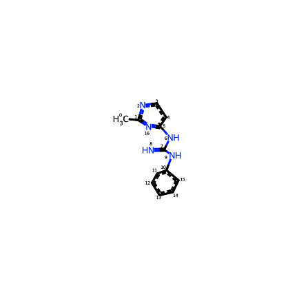 Cc1nccc(NC(=N)Nc2ccccc2)n1